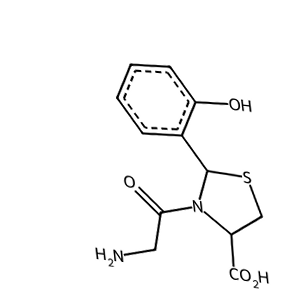 NCC(=O)N1C(C(=O)O)CSC1c1ccccc1O